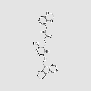 O=C(CC[C@H](NC(=O)OCC1c2ccccc2-c2ccccc21)C(=O)O)NCc1cccc2c1OCCO2